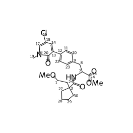 COCCC1(C(=O)NC(Cc2ccc(-c3cc(Cl)cn(C)c3=O)cc2)C(=O)OC)CCCC1